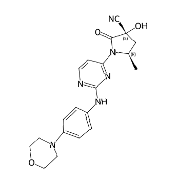 C[C@@H]1C[C@](O)(C#N)C(=O)N1c1ccnc(Nc2ccc(N3CCOCC3)cc2)n1